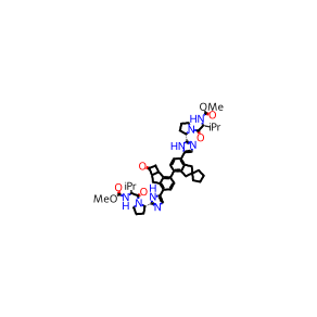 COC(=O)N[C@H](C(=O)N1CCC[C@H]1c1ncc(-c2ccc(-c3ccc(-c4cnc([C@@H]5CCCN5C(=O)[C@@H](NC(=O)OC)C(C)C)[nH]4)c4c3C3CC(=O)C3C4)c3c2CC2(CCCC2)C3)[nH]1)C(C)C